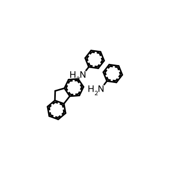 Nc1ccccc1.Nc1ccccc1.c1ccc2c(c1)Cc1ccccc1-2